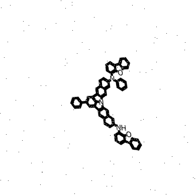 c1ccc(-c2cc3c4cc5ccc(Nc6cccc7c6oc6ccccc67)cc5cc4n4c5cc6cc(N(c7ccccc7)c7cccc8c7oc7ccccc78)ccc6cc5c(c2)c34)cc1